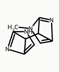 Cn1cc2nc1C2[C]1c2c[nH]c1n2